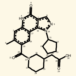 Cc1cc2[nH]c(=O)c3cnn(C4CCCC4)c3c2cc1C(=O)N1CCCC(CC(=O)O)C1